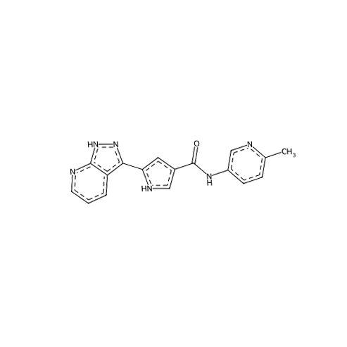 Cc1ccc(NC(=O)c2c[nH]c(-c3n[nH]c4ncccc34)c2)cn1